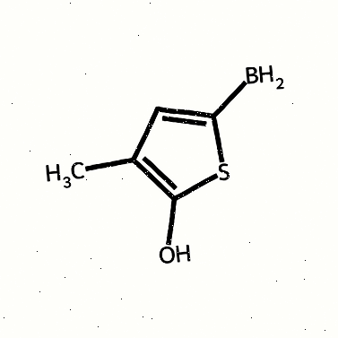 Bc1cc(C)c(O)s1